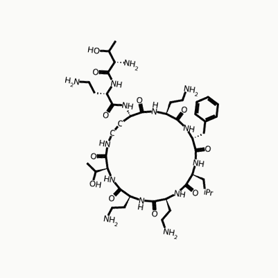 CC(C)C[C@@H]1NC(=O)[C@@H](Cc2ccccc2)NC(=O)[C@H](CCN)NC(=O)[C@@H](NC(=O)[C@H](CCN)NC(=O)[C@@H](N)C(C)O)CCNC(=O)[C@H](C(C)O)NC(=O)[C@H](CCN)NC(=O)[C@H](CCN)NC1=O